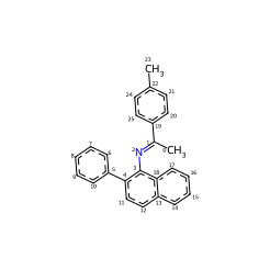 C/C(=N\c1c(-c2ccccc2)ccc2ccccc12)c1ccc(C)cc1